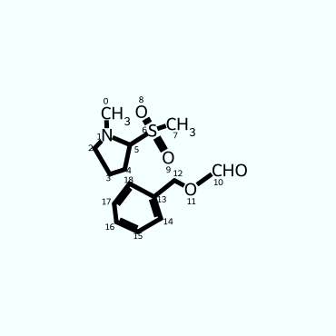 CN1CCCC1S(C)(=O)=O.O=COCc1ccccc1